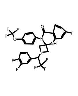 O=C1c2ccc(F)cc2NC2(CN(C(c3ccc(F)c(F)c3)C(F)(F)F)C2)N1c1ccc(OC(F)(F)F)cc1